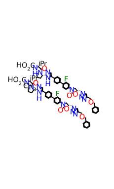 CC(C)[C@@H](C(=O)N1CCC[C@H]1c1ncc(-c2ccc(-c3ccc(N4C[C@H](Cn5cc(COCc6ccccc6)nn5)OC4=O)cc3F)cc2)[nH]1)N(C)C(=O)O.CC(C)[C@H](NC(=O)O)C(=O)N1CCC[C@H]1c1ncc(-c2ccc(-c3ccc(N4C[C@H](Cn5cc(COCc6ccccc6)nn5)OC4=O)cc3F)cc2)[nH]1